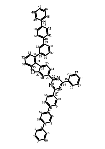 c1ccc(-c2ccc(-c3ccc(-c4nc(-c5ccccc5)nc(-c5ccc6c(c5)oc5cccc(-c7cccc(-c8ccc(-c9ccccc9)cc8)c7)c56)n4)cc3)cc2)cc1